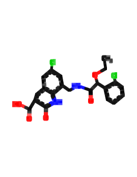 CCOC(C(=O)NCc1cc(Cl)cc2cc(C(=O)O)c(=O)[nH]c12)c1ccccc1Cl